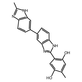 Cc1nc2ccc(-c3ccc4[nH]c(-c5cc(O)c(C)cc5O)nc4c3)cc2[nH]1